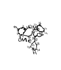 COc1cc(C)cc(OC)c1CN(Cc1ccccc1)C(=O)C1CCNCC1